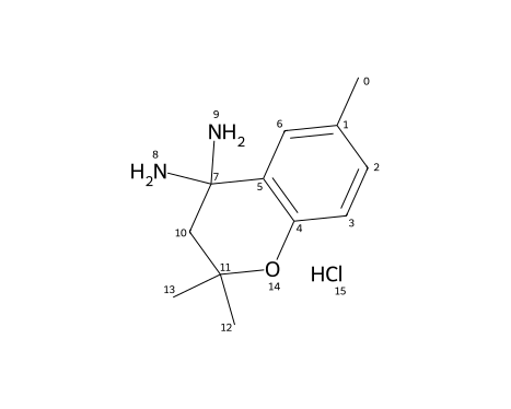 Cc1ccc2c(c1)C(N)(N)CC(C)(C)O2.Cl